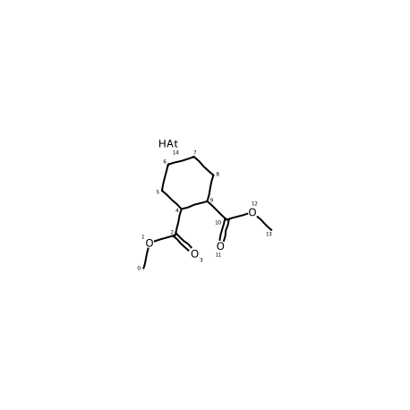 COC(=O)C1CCCCC1C(=O)OC.[AtH]